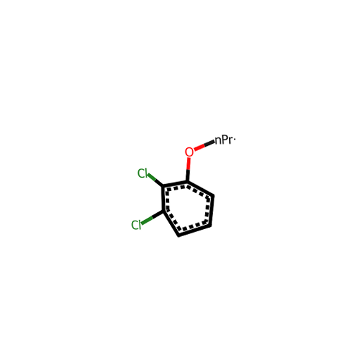 CC[CH]Oc1cccc(Cl)c1Cl